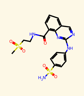 CS(=O)(=O)CCNC(=O)c1cccc2cnc(Nc3ccc(S(N)(=O)=O)cc3)nc12